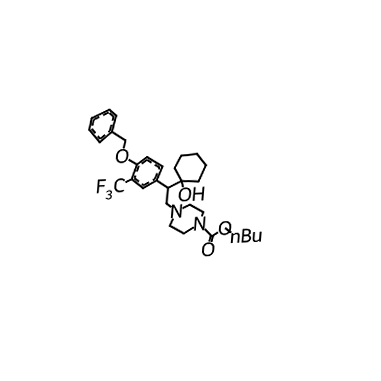 CCCCOC(=O)N1CCN(CC(c2ccc(OCc3ccccc3)c(C(F)(F)F)c2)C2(O)CCCCC2)CC1